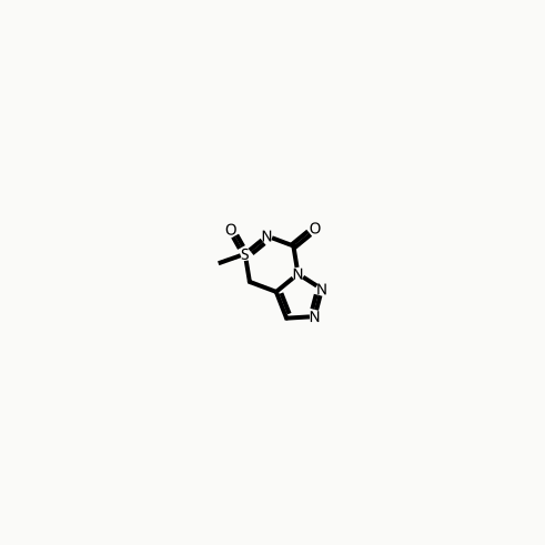 CS1(=O)=NC(=O)n2nncc2C1